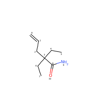 C=CCC(CC)(CC)C(N)=O